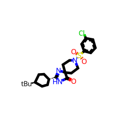 CC(C)(C)[C@H]1CC[C@H](C2=NC3(CCN(S(=O)(=O)c4cccc(Cl)c4)CC3)C(=O)N2)CC1